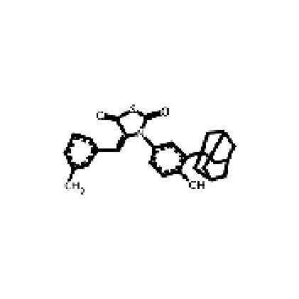 Cc1cccc(C=C2C(=O)SC(=O)N2c2ccc(O)c(C34CC5CC(CC(C5)C3)C4)c2)c1